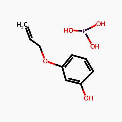 C=CCOc1cccc(O)c1.OP(O)O